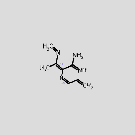 C=C/C=N\C(C(=N)N)=C(/C)N=C